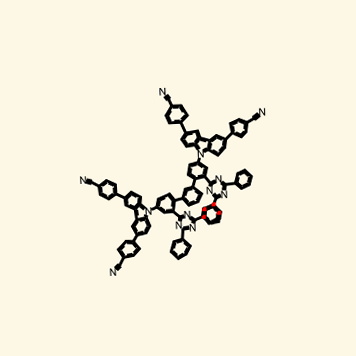 N#Cc1ccc(-c2ccc3c(c2)c2cc(-c4ccc(C#N)cc4)ccc2n3-c2ccc(-c3cccc(-c4ccc(-n5c6ccc(-c7ccc(C#N)cc7)cc6c6cc(-c7ccc(C#N)cc7)ccc65)cc4-c4nc(-c5ccccc5)nc(-c5ccccc5)n4)c3)c(-c3nc(-c4ccccc4)nc(-c4ccccc4)n3)c2)cc1